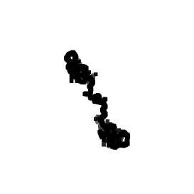 CC(CCC[C@@H](C)[C@H]1CC[C@H]2[C@@H]3CCC4CCCC[C@]4(C)[C@H]3CC[C@]12C)COCC(C)CCC[C@@H](C)[C@H]1CC[C@H]2[C@@H]3CCC4CCCC[C@]4(C)[C@H]3CC[C@]12C